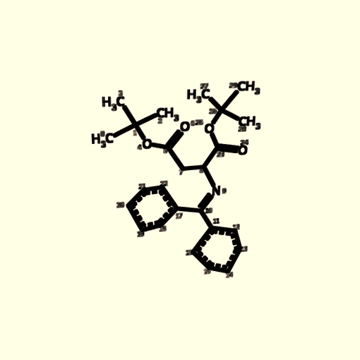 CC(C)(C)OC(=O)CC(N=C(c1ccccc1)c1ccccc1)C(=O)OC(C)(C)C